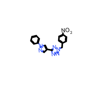 O=[N+]([O-])c1ccc(Cn2nnc(-c3cnn(-c4ccccc4)c3)n2)cc1